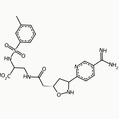 Cc1cccc(S(=O)(=O)NC(CNC(=O)C[C@@H]2CC(c3ccc(C(=N)N)cn3)NO2)C(=O)O)c1